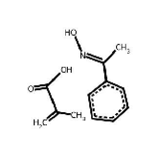 C=C(C)C(=O)O.CC(=NO)c1ccccc1